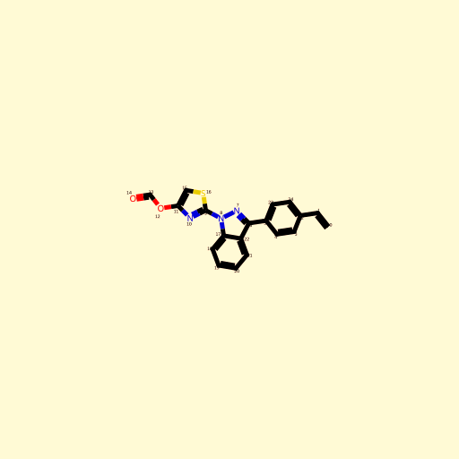 C=Cc1ccc(-c2nn(-c3nc(OC=O)cs3)c3ccccc23)cc1